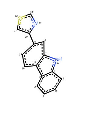 c1ccc2c(c1)[nH]c1cc(-c3cscn3)ccc12